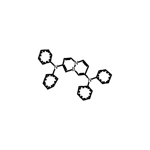 C1=CN2C=CC(N(c3ccccc3)c3ccccc3)=CB2C=C1N(c1ccccc1)c1ccccc1